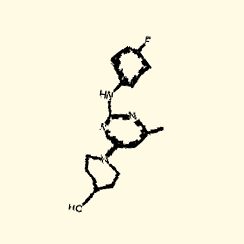 Cc1cc(N2CCC(O)CC2)nc(Nc2ccc(F)cc2)n1